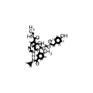 CCNC(=O)c1cn2ncnc(N(C(=O)OCOC(=O)Cc3ccc(O)cc3)c3cc(C(=O)NC4CC4)ccc3C)c2c1C